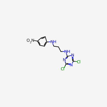 O=[N+]([O-])c1ccc(NCCCNc2nc(Cl)nc(Cl)n2)cc1